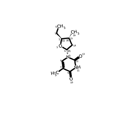 CC[C@@H]1O[C@@H](n2cc(C)c(=O)[nH]c2=O)C[C@H]1C